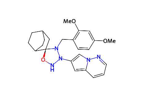 COc1ccc(CN2N(c3cc4cccnn4c3)NO[C@@]23CC2CCC3CC2)c(OC)c1